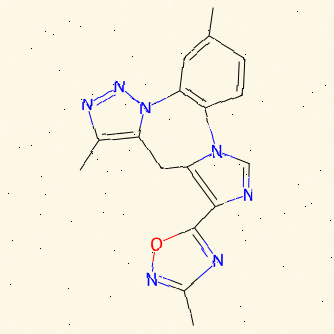 Cc1ccc2c(c1)-n1nnc(C)c1Cc1c(-c3nc(C)no3)ncn1-2